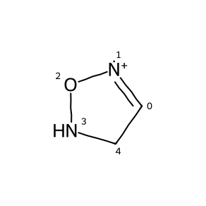 C1=[N+]ONC1